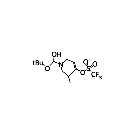 CC1CN(C(O)OC(C)(C)C)CC=C1OS(=O)(=O)C(F)(F)F